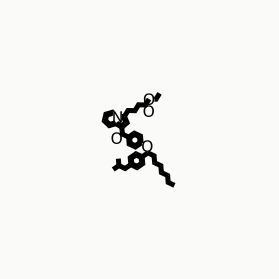 CCCCCCCC(Oc1ccc(C(=O)c2cc(CCCC(=O)OCC)n3ccccc23)cc1)c1ccc(CC(C)C)cc1